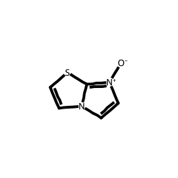 [O-][n+]1ccn2ccsc21